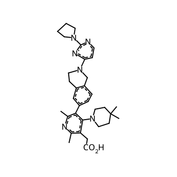 Cc1nc(C)c(-c2ccc3c(c2)CCN(c2ccnc(N4CCCC4)n2)C3)c(N2CCC(C)(C)CC2)c1CC(=O)O